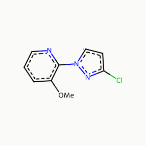 COc1cccnc1-n1[c]cc(Cl)n1